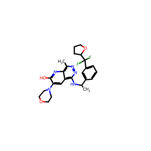 Cc1nnc(N[C@H](C)c2cccc(C(F)(F)C3CCCO3)c2)c2cc(N3CCOCC3)c(O)nc12